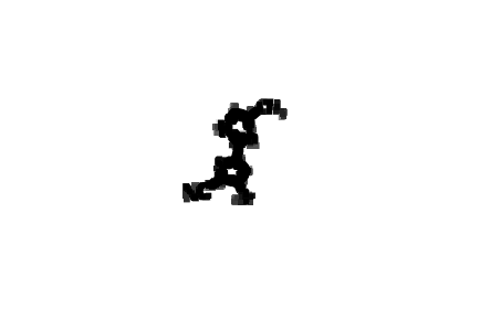 Cc1cnc(-c2cc(Br)c(C#N)s2)s1